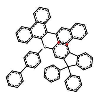 c1ccc(-c2ccc(N(c3ccc4c(c3)C(c3ccccc3)(c3ccccc3)c3ccccc3-4)c3c(-c4ccc5ccccc5c4)c4ccccc4c4ccccc34)cc2)cc1